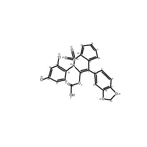 O=C(O)OC1=C(c2ccc3c(c2)OCO3)c2ccccc2S(=O)(=O)N1c1ccc(Cl)cc1Cl